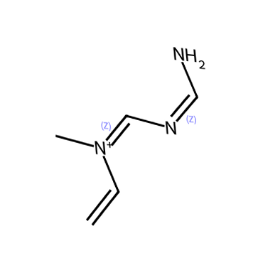 C=C/[N+](C)=C\N=C/N